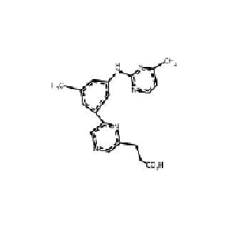 Cc1cc(Nc2nccc(C)n2)cc(-c2cncc(CCC(=O)O)n2)c1